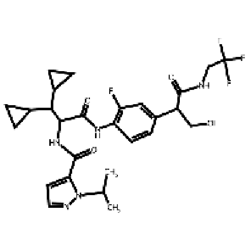 CC(C)n1nccc1C(=O)NC(C(=O)Nc1ccc(C(CO)C(=O)NCC(F)(F)F)cc1F)C(C1CC1)C1CC1